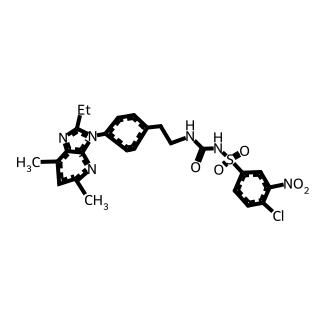 CCc1nc2c(C)cc(C)nc2n1-c1ccc(CCNC(=O)NS(=O)(=O)c2ccc(Cl)c([N+](=O)[O-])c2)cc1